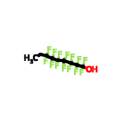 CCC(F)(F)C(F)(F)C(F)(F)C(F)(F)C(F)(F)C(F)(F)C(O)(F)F